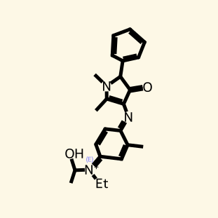 CC/[N+](=C1/C=CC(=NC2=C(C)N(C)C(c3ccccc3)C2=O)C(C)=C1)C(C)O